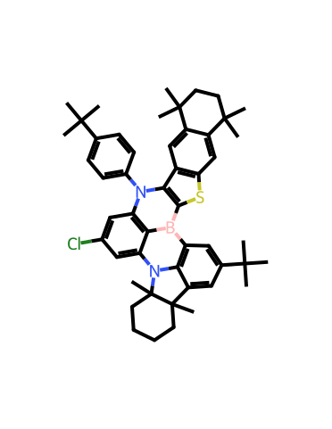 CC(C)(C)c1ccc(N2c3cc(Cl)cc4c3B(c3cc(C(C)(C)C)cc5c3N4C3(C)CCCCC53C)c3sc4cc5c(cc4c32)C(C)(C)CCC5(C)C)cc1